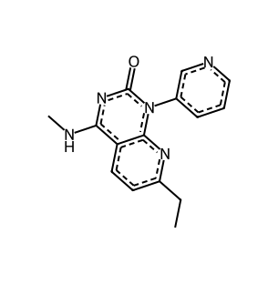 CCc1ccc2c(NC)nc(=O)n(-c3cccnc3)c2n1